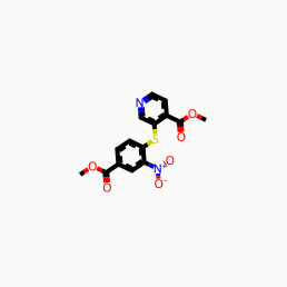 COC(=O)c1ccc(Sc2cnccc2C(=O)OC)c([N+](=O)[O-])c1